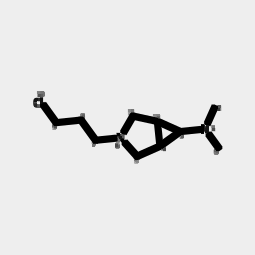 CN(C)C1C2CN(CCCCl)CC21